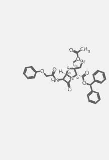 CC(=O)OC[C@@]1(CBr)S[C@@H]2C(NC(=O)COc3ccccc3)C(=O)N2[C@H]1C(=O)OC(c1ccccc1)c1ccccc1